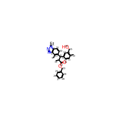 CCn1nnc2c(C)c(C(c3ccc(C)c(CO)c3)C(C)C(=O)OCc3ccccc3)ccc21